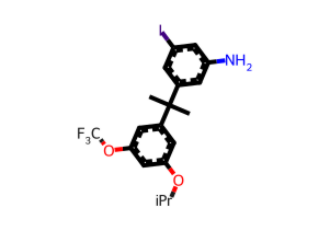 CC(C)Oc1cc(OC(F)(F)F)cc(C(C)(C)c2cc(N)cc(I)c2)c1